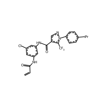 C=CC(=O)Nc1cc(Cl)cc(NC(=O)c2cnn(-c3ccc(C(C)C)cc3)c2C(F)(F)F)c1